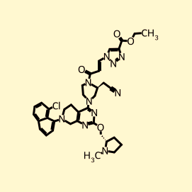 CCOC(=O)c1cn(/C=C/C(=O)N2CCN(c3nc(OC[C@@H]4CCCN4C)nc4c3CCN(c3cccc5cccc(Cl)c35)C4)C[C@@H]2CC#N)nn1